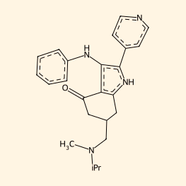 CC(C)N(C)CC1CC(=O)c2c([nH]c(-c3ccncc3)c2Nc2ccccc2)C1